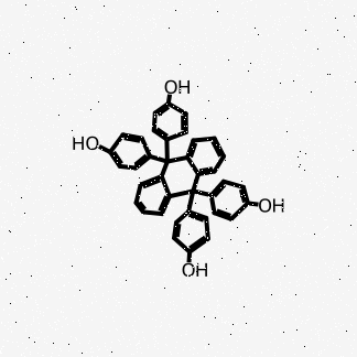 Oc1ccc(C2(c3ccc(O)cc3)c3ccccc3C(c3ccc(O)cc3)(c3ccc(O)cc3)c3ccccc32)cc1